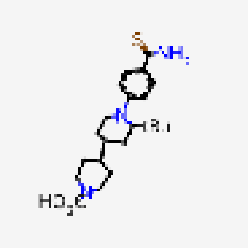 CC(C)(C)C1CC(C2CCN(C(=O)O)CC2)CCN1c1ccc(C(N)=S)cc1